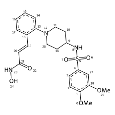 COc1ccc(S(=O)(=O)NC2CCN(c3ccccc3/C=C/C(=O)NO)CC2)cc1OC